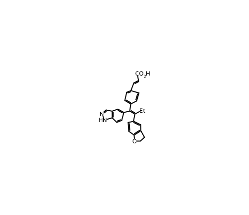 CCC(=C(c1ccc(C=CC(=O)O)cc1)c1ccc2[nH]ncc2c1)c1ccc2c(c1)CCO2